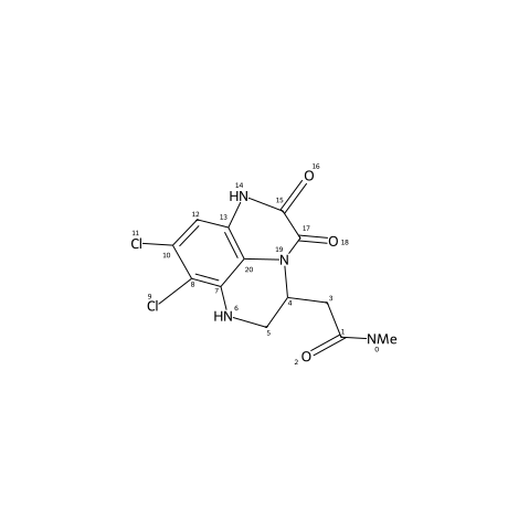 CNC(=O)CC1CNc2c(Cl)c(Cl)cc3[nH]c(=O)c(=O)n1c23